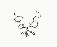 NC(=O)N(c1cccc(CN2CCCCC2)n1)c1csc(-c2ccc(F)cc2)n1